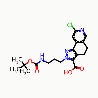 CC(C)(C)OC(=O)NCCCn1nc2c(c1C(=O)O)CCc1cnc(Cl)cc1-2